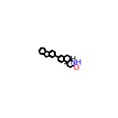 C[C@]12CCC(=O)N[C@@H]1CCc1cc(-c3ccc4c(c3)Cc3ccccc3-4)ccc12